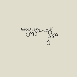 CCCc1c(OCCCOc2cc(OCc3ccccc3)c(C(=O)CCl)cc2CC)cccc1Oc1ccccc1C(=O)OC